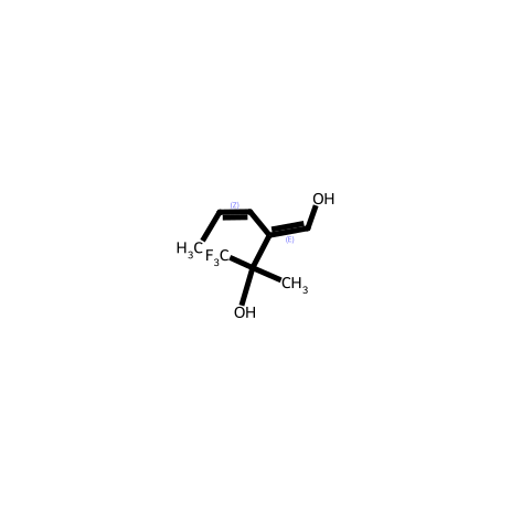 C/C=C\C(=C/O)C(C)(O)C(F)(F)F